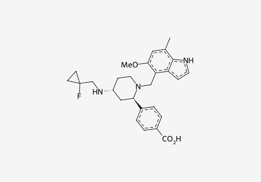 COc1cc(C)c2[nH]ccc2c1CN1CC[C@@H](NCC2(F)CC2)C[C@@H]1c1ccc(C(=O)O)cc1